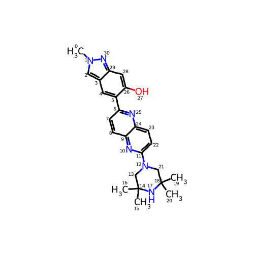 Cn1cc2cc(-c3ccc4nc(N5CC(C)(C)NC(C)(C)C5)ccc4n3)c(O)cc2n1